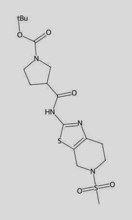 CC(C)(C)OC(=O)N1CCC(C(=O)Nc2nc3c(s2)CN(S(C)(=O)=O)CC3)C1